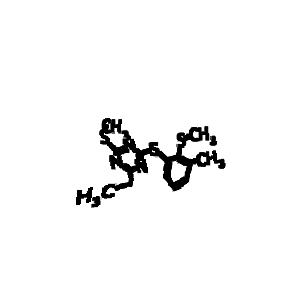 CCc1nc(SC)nc(Sc2cccc(C)c2SC)n1